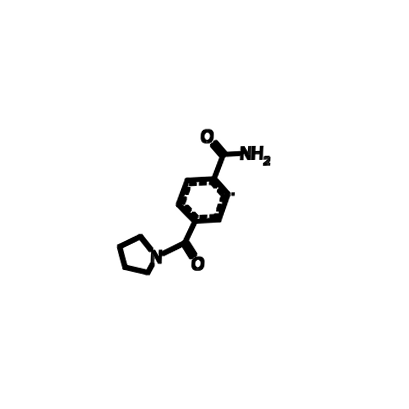 NC(=O)c1[c]cc(C(=O)N2CCCC2)cc1